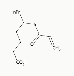 C=CC(=O)SC(CCC)CCCC(=O)O